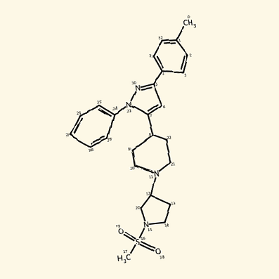 Cc1ccc(-c2cc(C3CCN(C4CCN(S(C)(=O)=O)C4)CC3)n(-c3ccccc3)n2)cc1